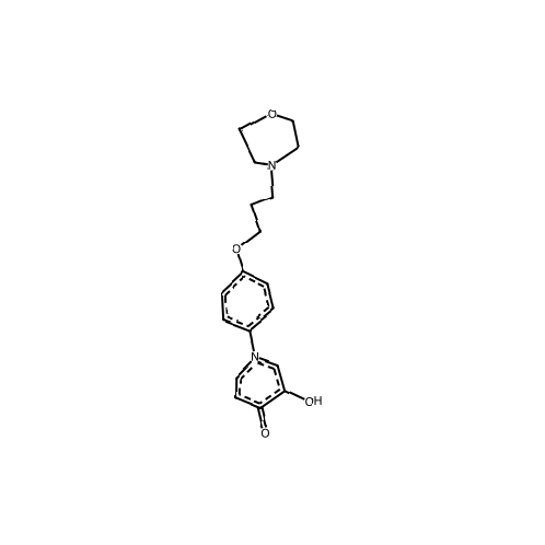 O=c1ccn(-c2ccc(OCCCN3CCOCC3)cc2)cc1O